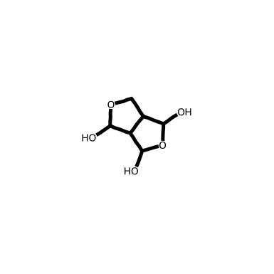 OC1OC(O)C2C(O)OCC12